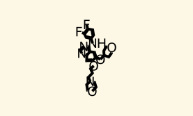 Fc1ccc(Nc2ncnc3cc(OCCCN4CCOCC4)c(OC4CCOCC4)cc23)cc1F